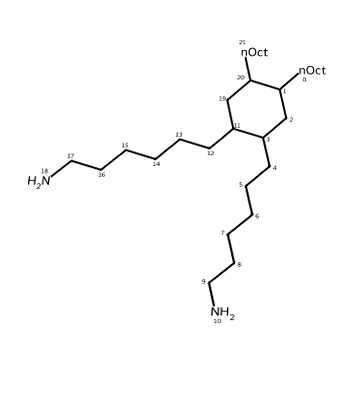 CCCCCCCCC1CC(CCCCCCN)C(CCCCCCN)CC1CCCCCCCC